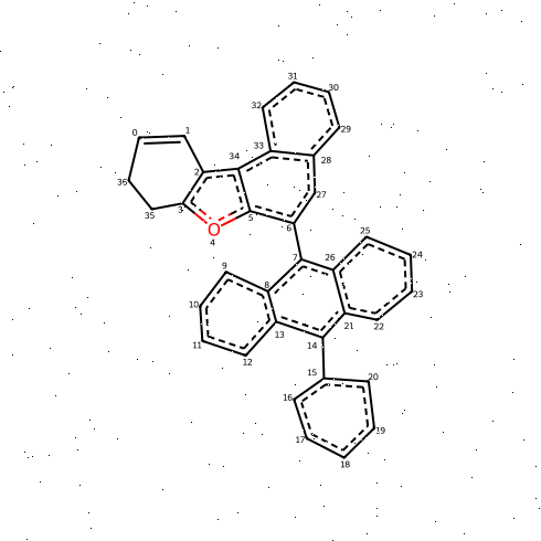 C1=Cc2c(oc3c(-c4c5ccccc5c(-c5ccccc5)c5ccccc45)cc4ccccc4c23)CC1